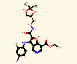 CCOC(=O)c1cncc2c(Nc3ccc(I)cc3F)c(C(=O)NOC[C@H]3COC(C)(C)O3)oc12